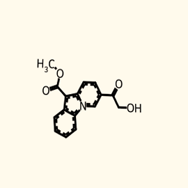 COC(=O)c1c2ccccc2n2cc(C(=O)CO)ccc12